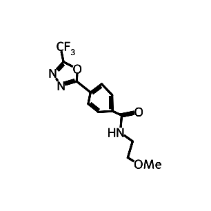 COCCNC(=O)c1ccc(-c2nnc(C(F)(F)F)o2)cc1